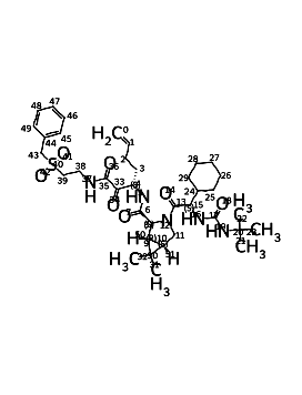 C=CCC[C@H](NC(=O)[C@@H]1[C@@H]2[C@H](CN1C(=O)[C@@H](NC(=O)NC(C)(C)C)C1CCCCC1)C2(C)C)C(=O)C(=O)NCCS(=O)(=O)Cc1ccccc1